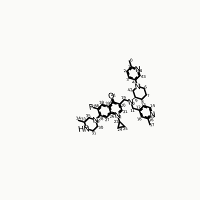 Cc1ccc(N2CCC[C@H](N(Cc3ccnc(C)c3)Cc3cn(C4CC4)c4cc(N5CCNC(C)C5)c(F)cc4c3=O)C2)cn1